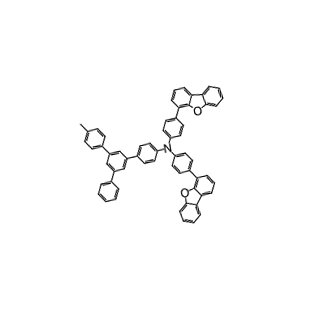 Cc1ccc(-c2cc(-c3ccccc3)cc(-c3ccc(N(c4ccc(-c5cccc6c5oc5ccccc56)cc4)c4ccc(-c5cccc6c5oc5ccccc56)cc4)cc3)c2)cc1